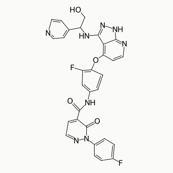 O=C(Nc1ccc(Oc2ccnc3[nH]nc(NC(CO)c4ccncc4)c23)c(F)c1)c1ccnn(-c2ccc(F)cc2)c1=O